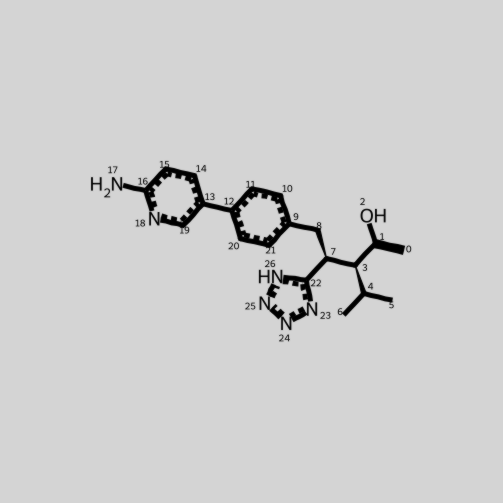 C=C(O)[C@@H](C(C)C)[C@H](Cc1ccc(-c2ccc(N)nc2)cc1)c1nnn[nH]1